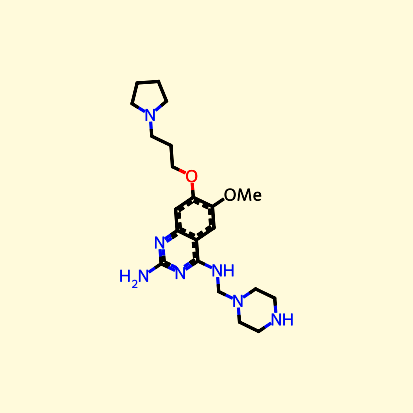 COc1cc2c(NCN3CCNCC3)nc(N)nc2cc1OCCCN1CCCC1